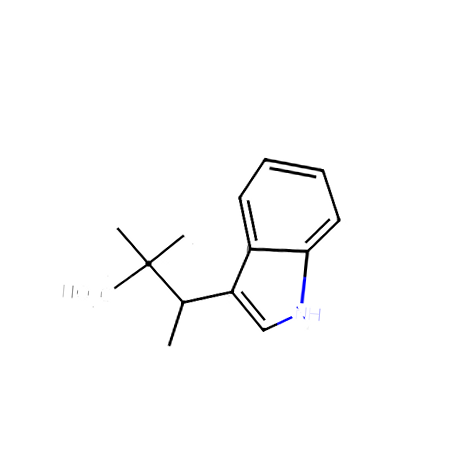 CC(c1c[nH]c2ccccc12)C(C)(C)C(=O)O